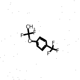 CC(F)(F)Oc1ccc(C(F)(F)F)cc1